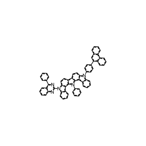 c1ccc(-c2nc(-n3c4ccccc4c4c3ccc3c5ccc6c(c7ccccc7n6-c6ccc(-c7cc8ccccc8c8ccccc78)cc6)c5n(-c5ccccc5)c34)nc3ccccc23)cc1